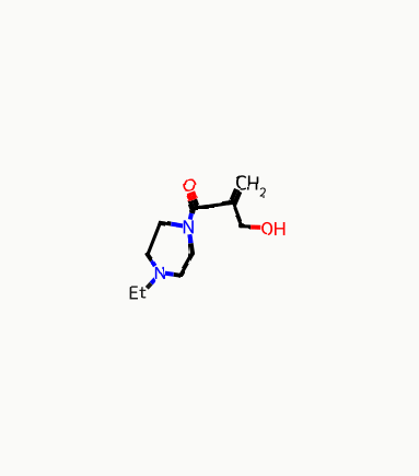 C=C(CO)C(=O)N1CCN(CC)CC1